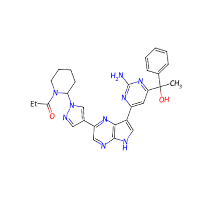 CCC(=O)N1CCCCC1n1cc(-c2cnc3[nH]cc(-c4cc(C(C)(O)c5ccccc5)nc(N)n4)c3n2)cn1